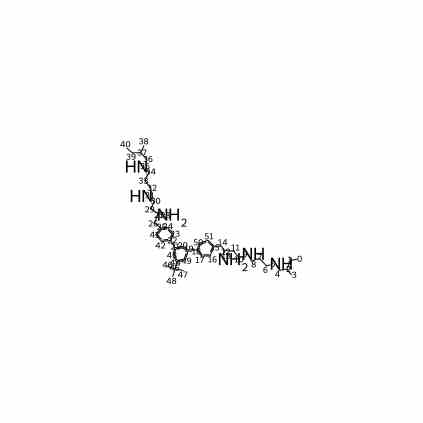 CCC(C)CNCCCNCCC(N)Cc1ccc(-c2cc(-c3ccc(CC(N)CCNCCCNCC(C)CC)cc3)cc(C(C)(C)C)c2)cc1